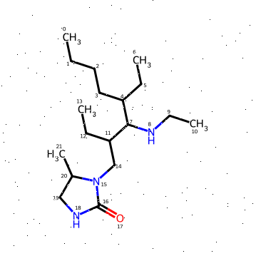 CCCCC(CC)C(NCC)C(CC)CN1C(=O)NCC1C